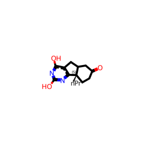 CCC[C@]12CCC(=O)CC1Cc1c(O)nc(O)nc12